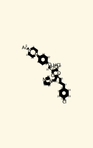 CC(=O)N1CCN(c2ccc(OC[C@@H]3CO[C@](CCCc4ccc(Cl)cc4)(Cn4ccnc4)O3)cc2)CC1.Cl.Cl